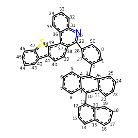 c1cc(-c2c3ccccc3c(-c3cccc4ccccc34)c3ccccc23)cc(-c2nc3ccccc3c3c2ccc2c4ccccc4sc23)c1